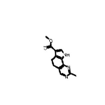 COC(=O)c1c[nH]c2c1CCc1cnc(C)nc1-2